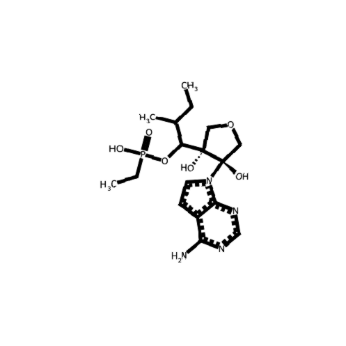 CCC(C)C(OP(=O)(O)CC)[C@@]1(O)COC[C@]1(O)n1ccc2c(N)ncnc21